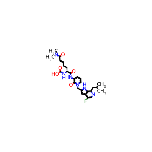 CC(C)Cc1ncc(F)c2cc(Cn3cccc(NC(=O)[C@H](CC/C=C/C(=O)N(C)C)NC(=O)O)c3=O)[nH]c12